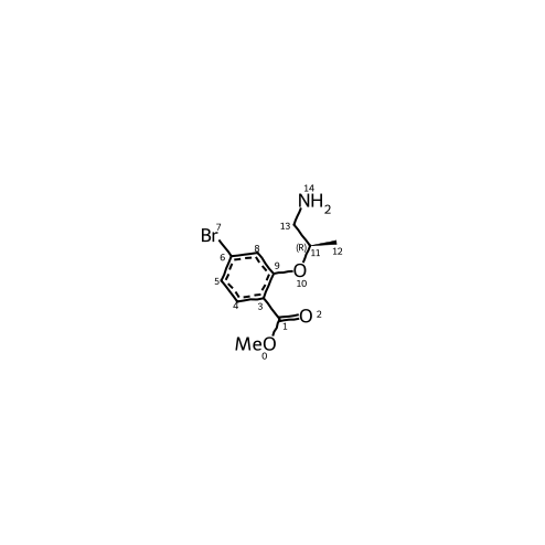 COC(=O)c1ccc(Br)cc1O[C@H](C)CN